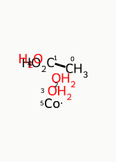 CC(=O)O.O.O.O.[Co]